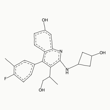 Cc1cc(-c2c(C(C)CO)c(NC3CC(O)C3)nc3cc(O)ccc23)ccc1F